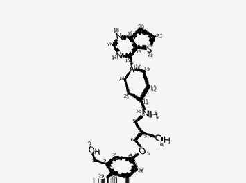 OCc1cc(OCC(O)CNC2CCN(c3ncnc4ccsc34)CC2)ccc1O